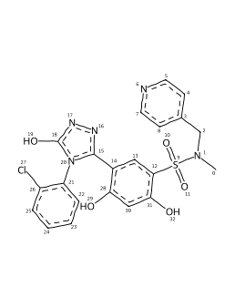 CN(Cc1ccncc1)S(=O)(=O)c1cc(-c2nnc(O)n2-c2ccccc2Cl)c(O)cc1O